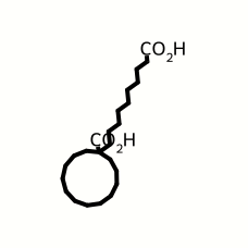 O=C(O)CCCCCCCCCC1(C(=O)O)CCCCCCCCCCCC1